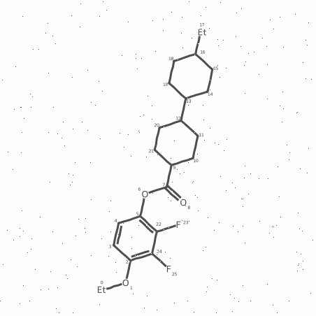 CCOc1ccc(OC(=O)C2CCC(C3CCC(CC)CC3)CC2)c(F)c1F